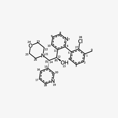 Cc1cccc(-c2ncccc2[C@@H](O)[C@H](c2cccnc2)N2CCOCC2)c1Cl